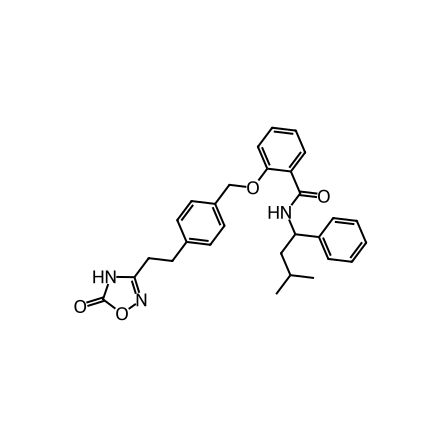 CC(C)CC(NC(=O)c1ccccc1OCc1ccc(CCc2noc(=O)[nH]2)cc1)c1ccccc1